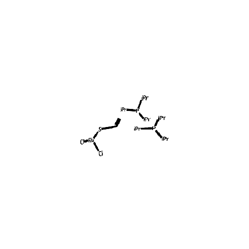 C=C[S][Ru]([Cl])[Cl].CC(C)P(C(C)C)C(C)C.CC(C)P(C(C)C)C(C)C